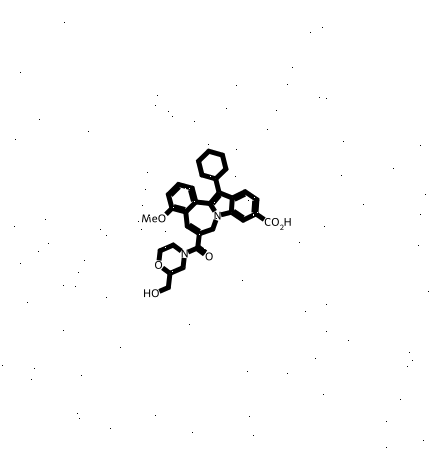 COc1cccc2c1C=C(C(=O)N1CCOC(CO)C1)Cn1c-2c(C2CCCCC2)c2ccc(C(=O)O)cc21